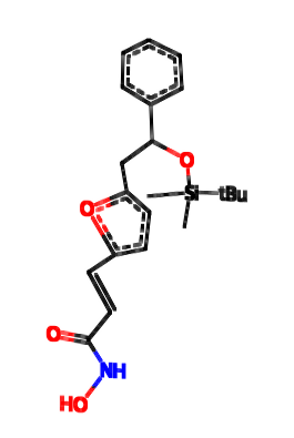 CC(C)(C)[Si](C)(C)OC(Cc1ccc(/C=C/C(=O)NO)o1)c1ccccc1